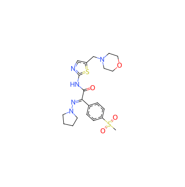 CS(=O)(=O)c1ccc(/C(=N\N2CCCC2)C(=O)Nc2ncc(CN3CCOCC3)s2)cc1